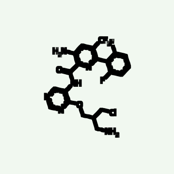 NCC(CCl)COc1ncncc1NC(=O)c1nc(-c2c(F)cccc2F)c(C(F)(F)F)cc1N